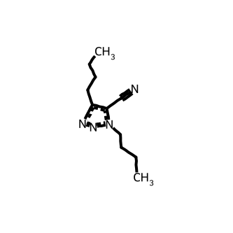 CCCCc1nnn(CCCC)c1C#N